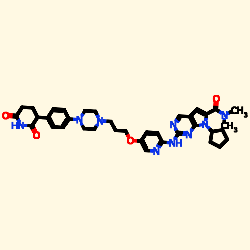 CN(C)C(=O)c1cc2cnc(Nc3ccc(OCCCN4CCN(c5ccc(C6CCC(=O)NC6=O)cc5)CC4)cn3)nc2n1C1CCCC1